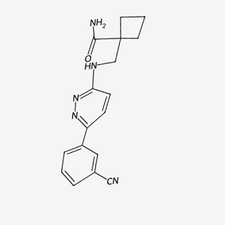 N#Cc1cccc(-c2ccc(NCC3(C(N)=O)CCC3)nn2)c1